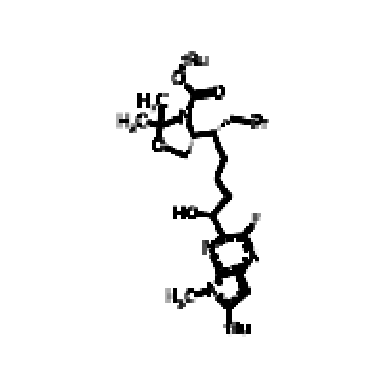 CC(C)C[C@H](CCCC(O)c1nc2c(cc(C(C)(C)C)n2C)nc1F)[C@@H]1COC(C)(C)N1C(=O)OC(C)(C)C